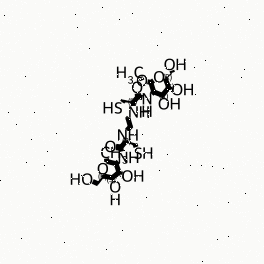 COC1O[C@H](CO)[C@@H](O)[C@H](O)C1NC(=O)[C@H](CS)NCCN[C@@H](CS)C(=O)NC1C(C)O[C@H](CO)[C@@H](O)[C@@H]1O